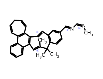 C/N=C\N=C\c1ccc2c(c1)/C=C/c1c3c(c4ccccc4c1/C=C(\C)C2(C)C)C=CCC=C3